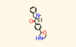 CCC(Cc1ccccc1)(C(=O)c1ccc(C2CNCCO2)cc1)N(C)C